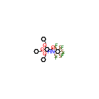 O=C(Nc1c(SF)c(SF)c(SF)c(SF)c1SF)c1cc(OCc2ccccc2)c(OCc2ccccc2)c(OCc2ccccc2)c1